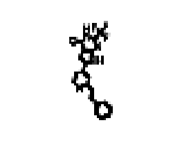 O=c1[nH]c(C(F)(F)F)nc2[nH]c(-c3ccnc(C=Cc4ccccc4)c3)cc12